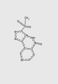 CS(=O)(=O)c1nnc2c3cnccc3c(=O)[nH]n12